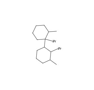 CC(C)C1C(C)CCCC1C1(C(C)C)CCCCC1C